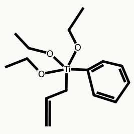 C=C[CH2][Ti]([O]CC)([O]CC)([O]CC)[c]1ccccc1